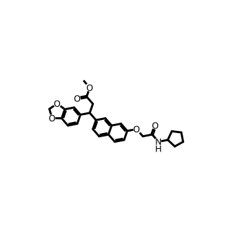 COC(=O)CC(c1ccc2c(c1)OCO2)c1ccc2ccc(OCC(=O)NC3CCCC3)cc2c1